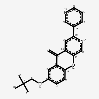 C=C1c2cc(OCC(C)(C)C)ccc2Oc2cnc(-c3cccnc3)cc21